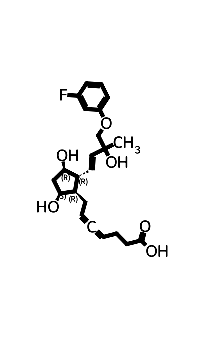 CC(O)(C=C[C@@H]1[C@@H](CC=C=CCCC(=O)O)[C@@H](O)C[C@H]1O)COc1cccc(F)c1